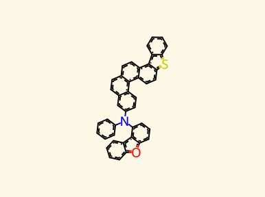 c1ccc(N(c2ccc3c(ccc4ccc5c(ccc6sc7ccccc7c65)c43)c2)c2cccc3oc4ccccc4c23)cc1